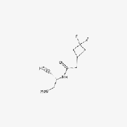 C#C[C@@H](COC)NC(=O)CC1CC(F)(F)C1